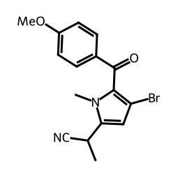 COc1ccc(C(=O)c2c(Br)cc(C(C)C#N)n2C)cc1